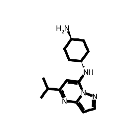 CC(C)c1cc(N[C@H]2CC[C@H](N)CC2)n2nccc2n1